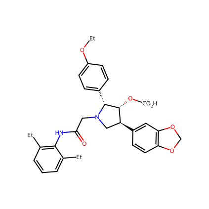 CCOc1ccc([C@@H]2[C@H](OC(=O)O)[C@@H](c3ccc4c(c3)OCO4)CN2CC(=O)Nc2c(CC)cccc2CC)cc1